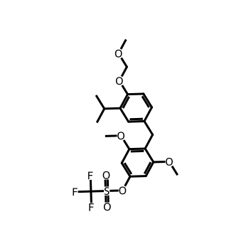 COCOc1ccc(Cc2c(OC)cc(OS(=O)(=O)C(F)(F)F)cc2OC)cc1C(C)C